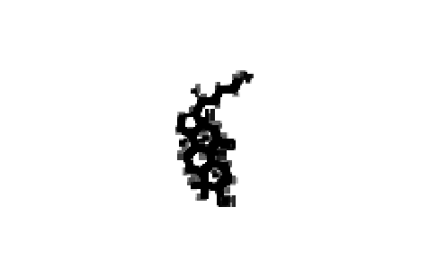 CC(C)CCC[C@@H](C)[C@H]1CC[C@@]2(C)[C@@H]1CC(=O)[C@@H]1[C@@]3(C)CC=C(O)C(C)(C)C3CC[C@]12C